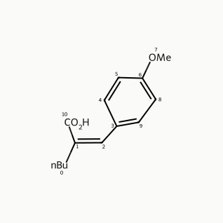 CCCCC(=Cc1ccc(OC)cc1)C(=O)O